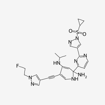 CC(C)NC1=CC(N)(c2ccnc(-c3cnn(S(=O)(=O)C4CC4)c3)n2)NC=C1C#Cc1cnn(CCF)c1